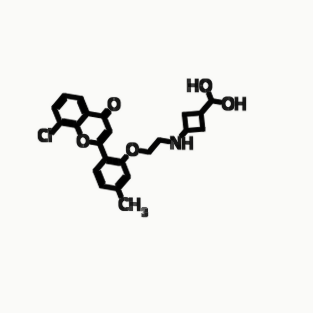 Cc1ccc(-c2cc(=O)c3cccc(Cl)c3o2)c(OCCNC2CC(C(O)O)C2)c1